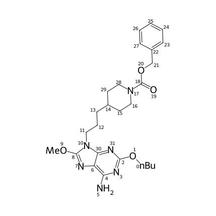 CCCCOc1nc(N)c2nc(OC)n(CCCC3CCN(C(=O)OCc4ccccc4)CC3)c2n1